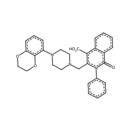 O=C(O)c1c(CN2CCN(c3cccc4c3OCCO4)CC2)n(-c2ccccc2)c(=O)c2ccccc12